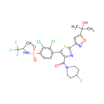 CC(NS(=O)(=O)c1ccc(-c2sc(-c3cc(C(C)(C)O)on3)nc2C(=O)N2CCC(F)CC2)c(Cl)c1Cl)C(F)(F)F